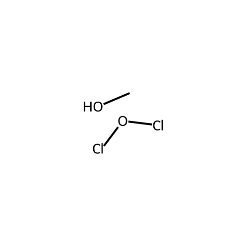 CO.ClOCl